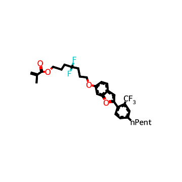 C=C(C)C(=O)OCCCC(F)(F)CCCOc1ccc2cc(-c3ccc(CCCCC)cc3C(F)(F)F)oc2c1